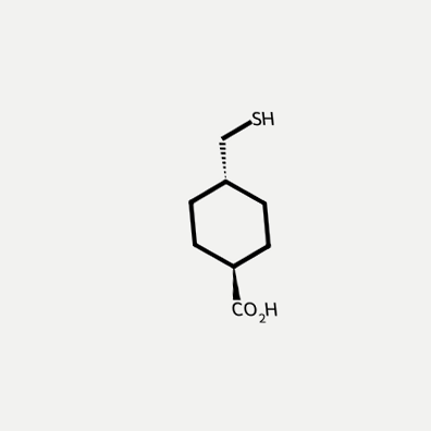 O=C(O)[C@H]1CC[C@H](CS)CC1